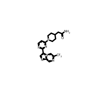 NC(=O)CC1CCN(c2ccnc(-c3cnc4cnc(C(F)(F)F)cn34)n2)CC1